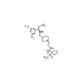 C/P=C(\NCC1CCN(CCNC(=O)C2(C(C)(F)F)CCCC2)CC1)c1cc(C(F)(F)F)cc(C(F)(F)F)c1